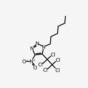 CCCCCCn1nnc([N+](=O)[O-])c1C(Cl)(Cl)C(Cl)(Cl)Cl